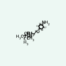 CC(C)(C)[Si](C)(C)OCCCOc1ccc(N)cc1